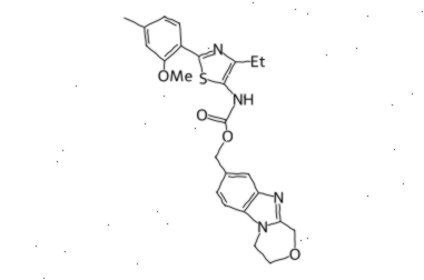 CCc1nc(-c2ccc(C)cc2OC)sc1NC(=O)OCc1ccc2c(c1)nc1n2CCOC1